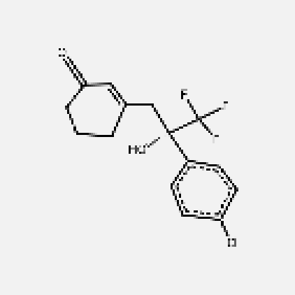 O=C1C=C(C[C@](O)(c2ccc(Cl)cc2)C(F)(F)F)CCC1